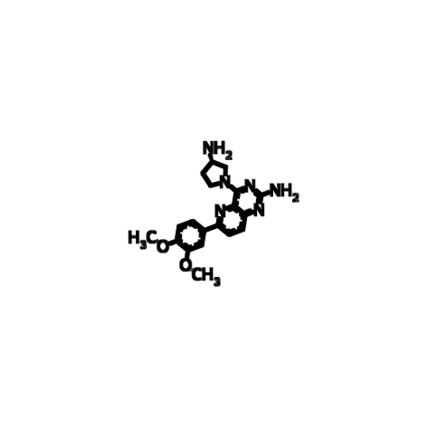 COc1ccc(-c2ccc3nc(N)nc(N4CC[C@@H](N)C4)c3n2)cc1OC